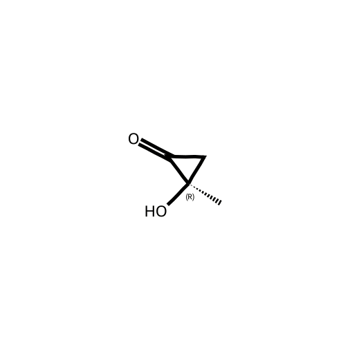 C[C@@]1(O)CC1=O